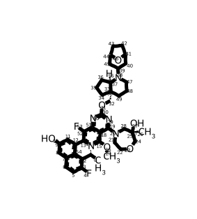 CCc1c(F)ccc2cc(O)cc(-c3nc(OC)c4c(N5CCOC[C@@](C)(O)C5)nc(OC[C@]56CCC[C@H]5N(C5CC7CCC(C5)O7)CCC6)nc4c3F)c12